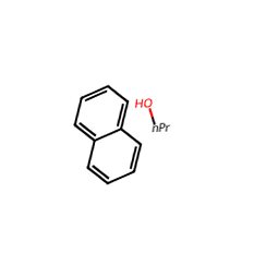 C[CH]CO.c1ccc2ccccc2c1